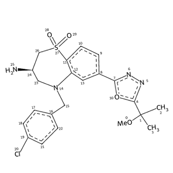 COC(C)(C)c1nnc(-c2ccc3c(c2)N(Cc2ccc(Cl)cc2)C[C@@H](N)CS3(=O)=O)o1